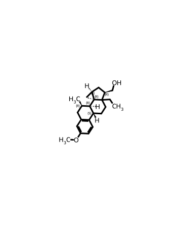 CCC12CC[C@@H]3c4ccc(OC)cc4C[C@@H](C)[C@H]3[C@]13C[C@H]3C[C@H]2CO